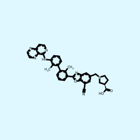 Cc1c(Nc2nccc3nccnc23)cccc1-c1cccc(-c2nc3cc(CN4CC[C@@H](C(=O)O)C4)cc(C#N)c3o2)c1C